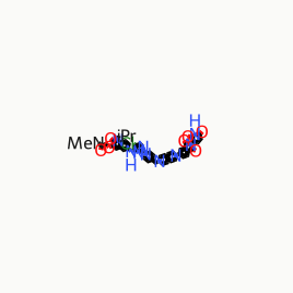 CNC(=O)COc1cc2cc(Nc3nc(N4CCC(CN5CCC6(CC5)CCN(c5ccc7c(c5)C(=O)N(C5CCC(=O)NC5=O)C7=O)CC6)CC4)ncc3Cl)ccc2n(C(C)C)c1=O